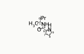 CC(C)C(C)NC(=O)c1ccc[nH]1